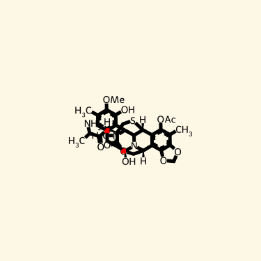 COc1c(C)cc2c(c1O)C1C3[C@@H]4SC[C@H](NC(=O)C(C)N)C(=O)OC[C@@H](c5c6c(c(C)c(OC(C)=O)c54)OCO6)N3[C@@H](O)C(C2)N1C